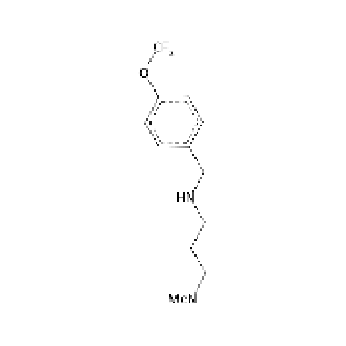 CNCCCNCc1ccc(OC(F)(F)F)cc1